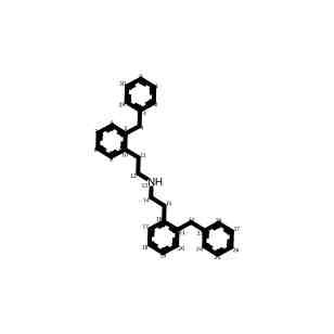 c1ccc(Cc2ccccc2CCNCCc2ccccc2Cc2ccccc2)cc1